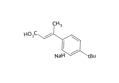 CC(=CC(=O)O)c1ccc(C(C)(C)C)cc1.[NaH]